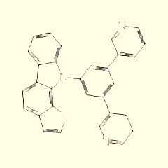 C1=NC=C(c2cc(-c3cccnc3)cc(-n3c4ccccc4c4ccc5ccoc5c43)c2)CC1